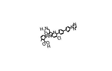 Cc1ccc(Oc2[nH]c3cc(Cl)c(-c4ccc(-c5ccc(-n6cncn6)cc5)cc4)nc3c2CN)cc1C(=O)O